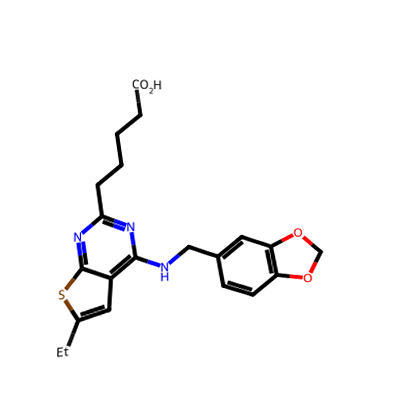 CCc1cc2c(NCc3ccc4c(c3)OCO4)nc(CCCCC(=O)O)nc2s1